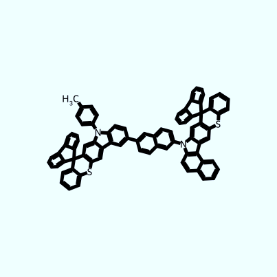 Cc1ccc(-n2c3ccc(-c4ccc5cc(-n6c7cc8c(cc7c7c9ccccc9ccc76)Sc6ccccc6C86c7ccccc7-c7ccccc76)ccc5c4)cc3c3cc4c(cc32)C2(c3ccccc3S4)c3ccccc3-c3ccccc32)cc1